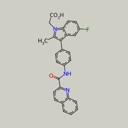 Cc1c(-c2ccc(NC(=O)c3ccc4ccccc4n3)cc2)c2cc(F)ccc2n1CC(=O)O